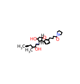 CC#CC[C@@H](C)[C@@H](O)/C=C/[C@@H]1[C@H]2c3cccc(CCCC(=O)N4CCCC4)c3O[C@H]2C[C@H]1O